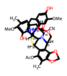 COc1cc2c(cc1O)CCN[C@]21CS[C@@H]2c3c(OC(C)=O)c(C)c4c(c3[C@H](COC1=O)N1C2[C@H]2N[C@H](Cc3cc(C)c(OC)c(O)c32)[C@@H]1C#N)OCO4